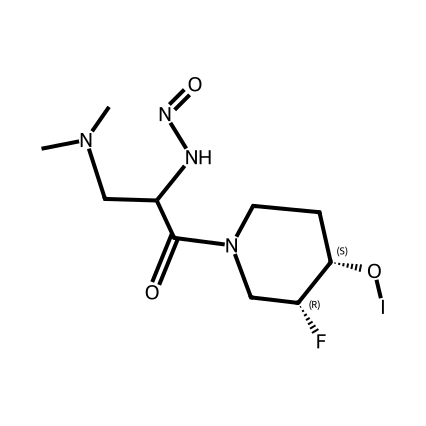 CN(C)CC(NN=O)C(=O)N1CC[C@H](OI)[C@H](F)C1